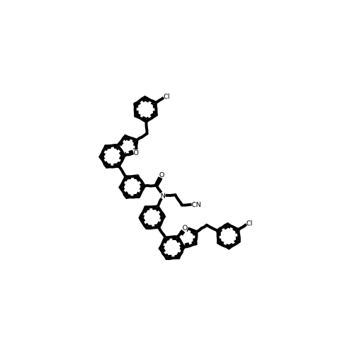 N#CCCN(C(=O)c1cccc(-c2cccc3cc(Cc4cccc(Cl)c4)oc23)c1)c1cccc(-c2cccc3cc(Cc4cccc(Cl)c4)oc23)c1